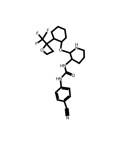 N#Cc1ccc(NC(=O)NC2CCCNC2OC2CCCCC2C2(C(F)(F)F)CCO2)cc1